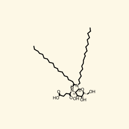 CCCCCCCCCCCCCCCCCCN(C(=O)CCCCCCCCCCCCCCCCC)[C@@H]1O[C@H](CO)[C@@H](O)[C@H](O)[C@@H]1NC(=O)CCC(=O)O